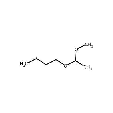 C[CH]CCOC(C)OC